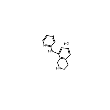 Cl.c1cc2c(c(Nc3cnccn3)c1)CNCC2